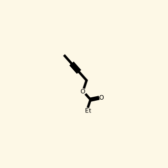 CC#CCOC(=O)CC